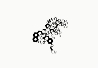 C#CCOc1ccc(C[C@H](NC(=O)[C@@H](CC(=O)[C@@H]2C[C@H](N=[N+]=[N-])CN2C(=O)[C@@H](NC(=O)[C@H](C)N(C)C(=O)OC(C)(C)C)C(C)(C)C)Cc2ccc3ccccc3c2)C(=O)OC)cc1